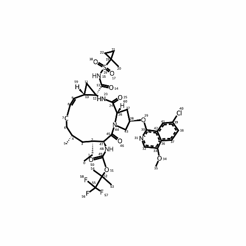 CC[C@@H]1C[C@H](C)CC/C=C\[C@@H]2C[C@@]2(C(=O)NS(=O)(=O)C2(C)CC2)NC(=O)[C@@H]2C[C@@H](Oc3ncc(OC)c4ccc(Cl)cc34)CN2C(=O)[C@H]1NC(=O)OC(C)(C)C(F)(F)F